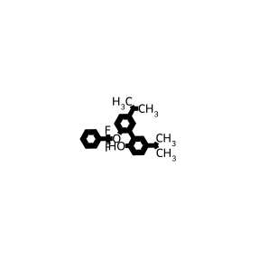 CC(C)c1ccc(O)c(-c2cc(C(C)C)ccc2OC(F)(F)c2ccccc2)c1